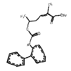 CC(=CCC(C)OC(=O)Nc1ccccc1-c1ccccc1)C(=O)O